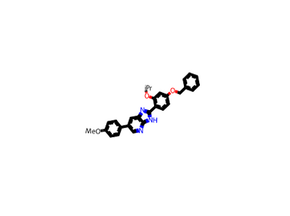 COc1ccc(-c2cnc3[nH]c(-c4ccc(OCc5ccccc5)cc4OC(C)C)nc3c2)cc1